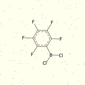 Fc1c(F)c(F)c(B(Cl)Cl)c(F)c1F